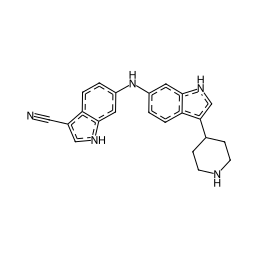 N#Cc1c[nH]c2cc(Nc3ccc4c(C5CCNCC5)c[nH]c4c3)ccc12